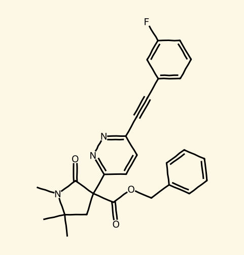 CN1C(=O)C(C(=O)OCc2ccccc2)(c2ccc(C#Cc3cccc(F)c3)nn2)CC1(C)C